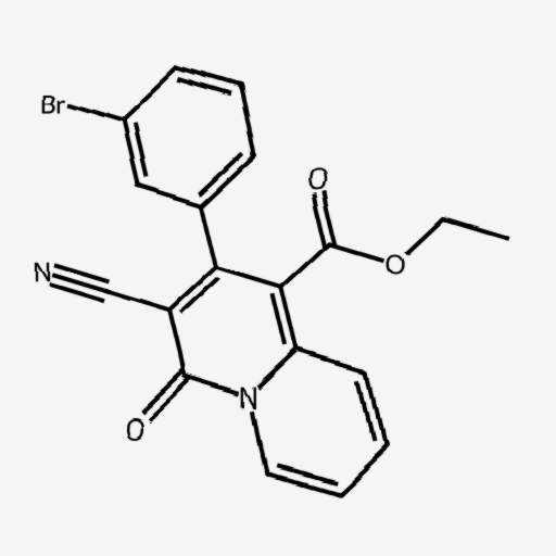 CCOC(=O)c1c(-c2cccc(Br)c2)c(C#N)c(=O)n2ccccc12